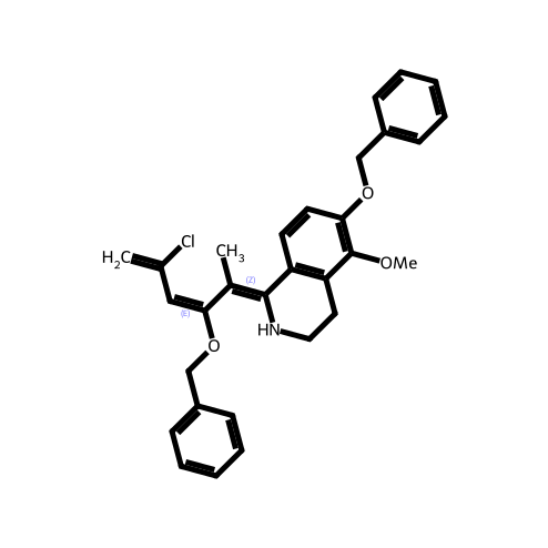 C=C(Cl)/C=C(OCc1ccccc1)\C(C)=C1/NCCc2c1ccc(OCc1ccccc1)c2OC